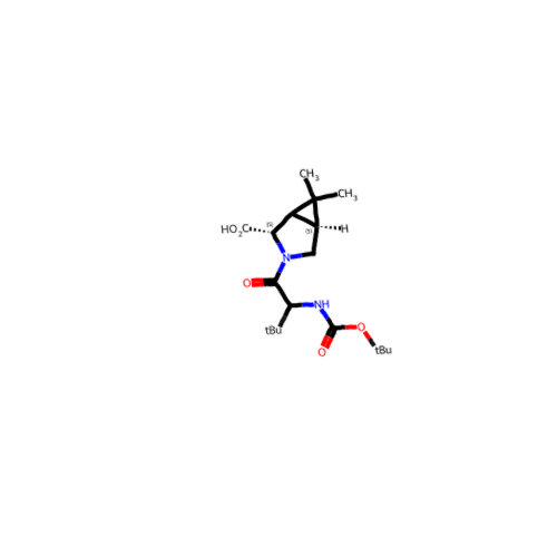 CC(C)(C)OC(=O)NC(C(=O)N1C[C@H]2C([C@H]1C(=O)O)C2(C)C)C(C)(C)C